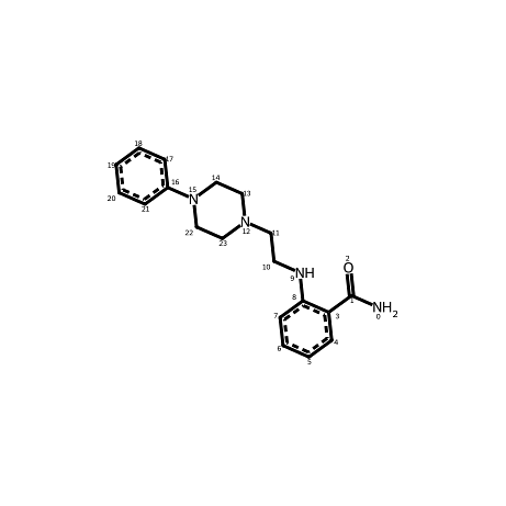 NC(=O)c1ccccc1NCCN1CCN(c2ccccc2)CC1